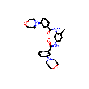 Cc1ccc(NC(=O)c2cccc(N3CCOCC3)c2)cc1NC(=O)c1cccc(N2CCOCC2)c1